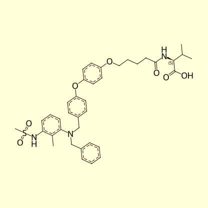 Cc1c(NS(C)(=O)=O)cccc1N(Cc1ccccc1)Cc1ccc(Oc2ccc(OCCCCC(=O)N[C@H](C(=O)O)C(C)C)cc2)cc1